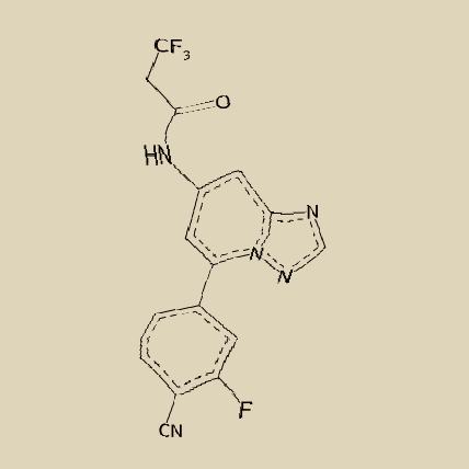 N#Cc1ccc(-c2cc(NC(=O)CC(F)(F)F)cc3ncnn23)cc1F